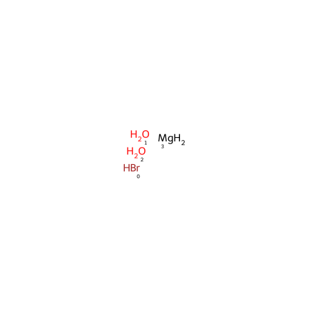 Br.O.O.[MgH2]